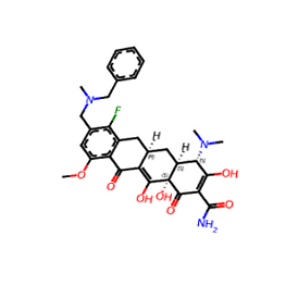 COc1cc(CN(C)Cc2ccccc2)c(F)c2c1C(=O)C1=C(O)[C@]3(O)C(=O)C(C(N)=O)=C(O)[C@@H](N(C)C)[C@@H]3C[C@@H]1C2